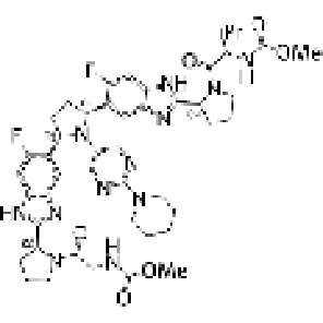 COC(=O)NCC(=O)N1CCC[C@H]1c1nc2cc([C@H]3CC[C@@H](c4cc5nc([C@@H]6CCCN6C(=O)C(NC(=O)OC)C(C)C)[nH]c5cc4F)N3c3cnc(N4CCCCC4)nc3)c(F)cc2[nH]1